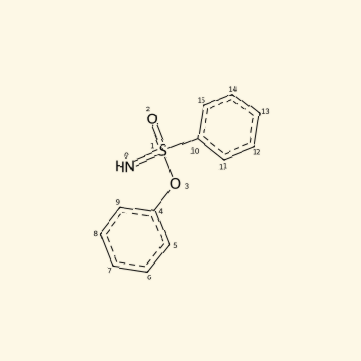 N=S(=O)(Oc1ccccc1)c1ccccc1